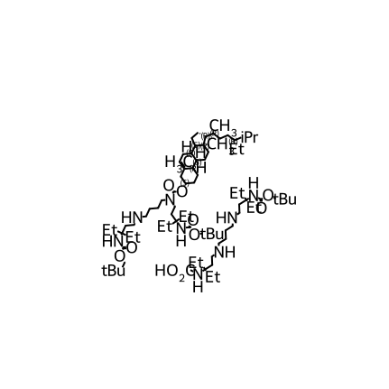 CCC(CC)(CCNCCCCNCCC(CC)(CC)NC(=O)OC(C)(C)C)NC(=O)O.CC[C@H](CC[C@@H](C)[C@H]1CC[C@H]2[C@@H]3CC=C4C[C@@H](OC(=O)N(CCCCNCCC(CC)(CC)NC(=O)OCC(C)(C)C)CCC(CC)(CC)NC(=O)OC(C)(C)C)CC[C@]4(C)[C@H]3CC[C@]12C)C(C)C